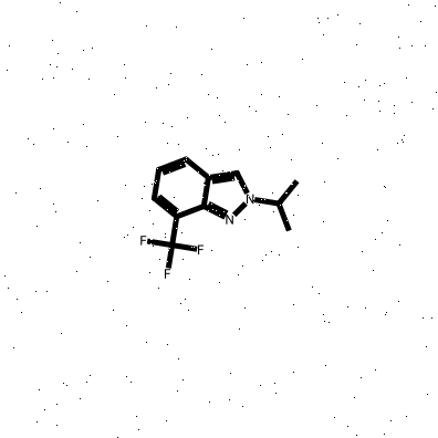 CC(C)n1cc2cccc(C(F)(F)F)c2n1